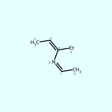 C/C=N\C(=C/C)CC